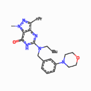 CCCc1nn(C)c2c(=O)[nH]c(N(Cc3cccc(N4CCOCC4)c3)CC(C)CC)nc12